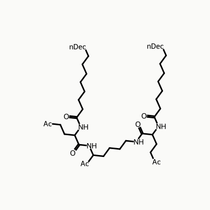 CCCCCCCCCCCCCCCCCC(=O)NC(CCC(C)=O)C(=O)NCCCCC(NC(=O)C(CCC(C)=O)NC(=O)CCCCCCCCCCCCCCCCC)C(C)=O